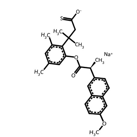 COc1ccc2cc([C@H](C)C(=O)Oc3cc(C)cc(C)c3C(C)(C)CC([O-])=S)ccc2c1.[Na+]